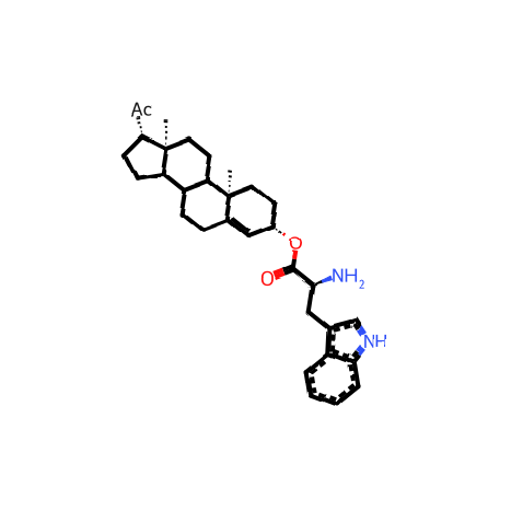 CC(=O)[C@H]1CCC2C3CCC4=C[C@@H](OC(=O)[C@@H](N)Cc5c[nH]c6ccccc56)CC[C@]4(C)C3CC[C@@]21C